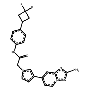 Nc1nc2cc(-c3cnn(CC(=O)Nc4ccc(C5CC(F)(F)C5)cc4)c3)ccn2n1